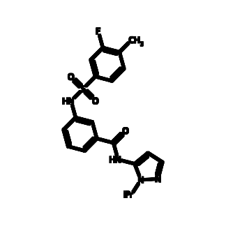 Cc1ccc(S(=O)(=O)Nc2cccc(C(=O)Nc3ccnn3C(C)C)c2)cc1F